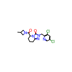 CC1CN(C(=O)C2CCCc3nn(Cc4ncc(Cl)cc4Cl)c(=O)n32)C1